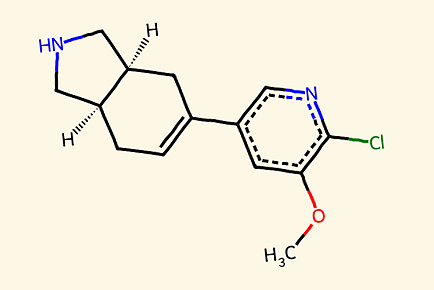 COc1cc(C2=CC[C@H]3CNC[C@H]3C2)cnc1Cl